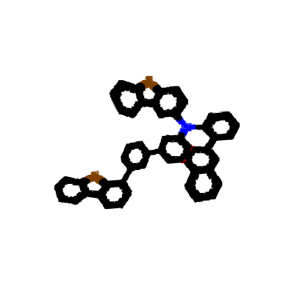 c1cc(-c2cccc(N(c3ccc4sc5ccccc5c4c3)c3ccccc3-c3ccc4ccccc4c3)c2)cc(-c2cccc3c2sc2ccccc23)c1